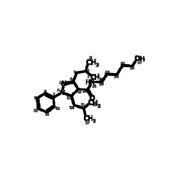 CC(C)CC1=NN(c2ccccc2)C(CC(C)C)C1C(=O)NCCCCCO